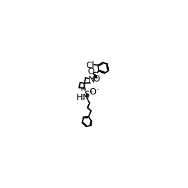 O=S(=O)(c1ccccc1Cl)N1CC2(CC[C@H]2[S+]([O-])NCCCc2ccccc2)C1